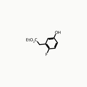 CCOC(=O)Cc1cc(O)ccc1F